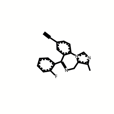 C#Cc1ccc2c(c1)C(c1ccccc1F)=NCc1c(C)ncn1-2